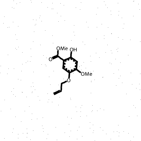 C=CCOc1cc(C(=O)OC)c(O)cc1OC